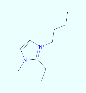 CCCC[n+]1ccn(C)c1CC